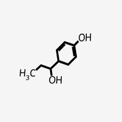 CCC(O)C1C=CC(O)=CC1